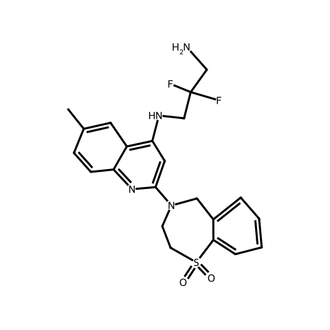 Cc1ccc2nc(N3CCS(=O)(=O)c4ccccc4C3)cc(NCC(F)(F)CN)c2c1